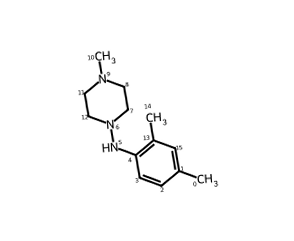 Cc1ccc(NN2CCN(C)CC2)c(C)c1